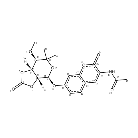 CO[C@@H]1[C@H]2OC(=O)O[C@H]2[C@H](Oc2ccc3cc(NC(C)=O)c(=O)oc3c2)OC1(C)C